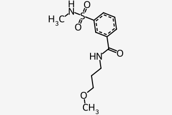 CNS(=O)(=O)c1cccc(C(=O)NCCCOC)c1